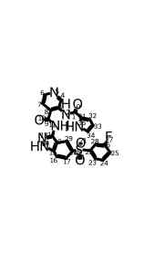 O=C(Nc1cnccc1C(=O)Nc1n[nH]c2ccc(S(=O)(=O)c3cccc(F)c3)cc12)c1ccc[nH]1